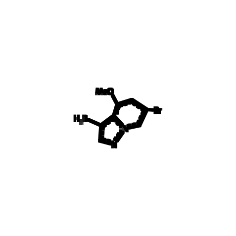 Bc1cnn2cc(Br)cc(OC)c12